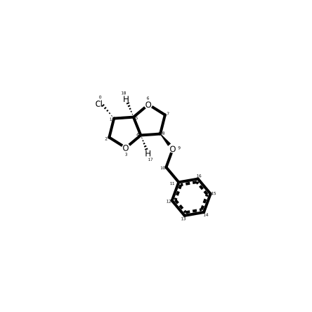 Cl[C@H]1CO[C@H]2[C@@H]1OC[C@H]2OCc1ccccc1